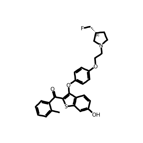 Cc1ccccc1C(=O)c1sc2cc(O)ccc2c1Oc1ccc(OCCN2CC[C@@H](CF)C2)cc1